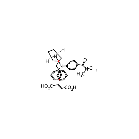 CN(C)C(=O)c1ccc(N(c2ccccc2)[C@H]2C[C@H]3CC[C@@H](C2)N3CCc2ccccc2)cc1.O=C(O)/C=C/C(=O)O